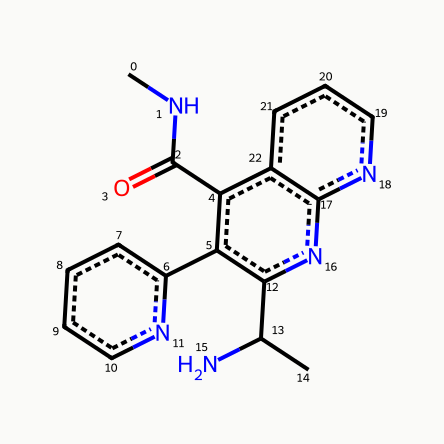 CNC(=O)c1c(-c2ccccn2)c(C(C)N)nc2ncccc12